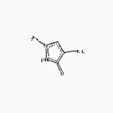 Nc1cn(N)[nH]c1=O